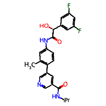 Cc1cc(NC(=O)[C@@H](O)c2cc(F)cc(F)c2)ccc1-c1cncc(C(=O)NC(C)C)c1